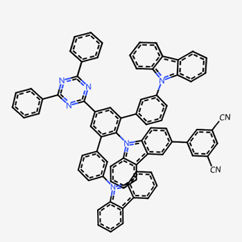 N#Cc1cc(C#N)cc(-c2ccc3c(c2)c2ccccc2n3-c2c(-c3cccc(-n4c5ccccc5c5ccccc54)c3)cc(-c3nc(-c4ccccc4)nc(-c4ccccc4)n3)cc2-c2cccc(-n3c4ccccc4c4ccccc43)c2)c1